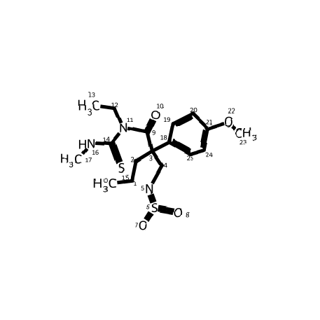 CCCC(CN=S(=O)=O)(C(=O)N(CC)C(=S)NC)c1ccc(OC)cc1